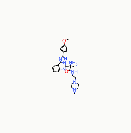 COc1ccc(-c2nc3c4ccccc4nc([C@](C)(N)C(=O)NCCN4CCN(C)CC4)n3n2)cc1